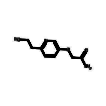 NC(=O)COc1ccc([CH]CO)nc1